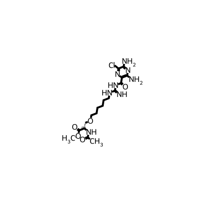 COC(=O)[C@H](COCCCCCCNC(=N)NC(=O)c1nc(Cl)c(N)nc1N)NC(C)=O